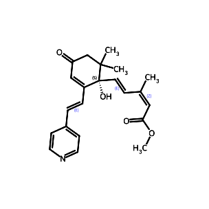 COC(=O)/C=C(C)\C=C\[C@@]1(O)C(/C=C/c2ccncc2)=CC(=O)CC1(C)C